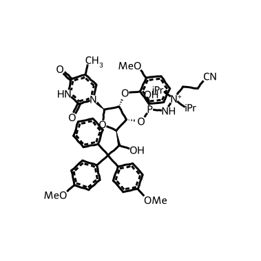 COc1ccc(C(c2ccccc2)(c2ccc(OC)cc2)C(O)[C@H]2O[C@@H](n3cc(C)c(=O)[nH]c3=O)[C@H](Oc3ccccc3OC)[C@@H]2OP(O)N[N+](CCC#N)(C(C)C)C(C)C)cc1